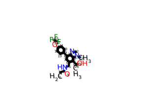 C=CC(=O)NCc1cc(-c2ccc(OC(F)(F)F)cc2)c2ncn(C)c2c1[C@H](C)O